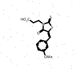 COc1cccc(/C=C2/SC(=S)N(CCC(=O)O)C2=O)c1